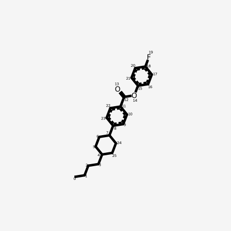 CCCCC1CCC(c2ccc(C(=O)Oc3ccc(F)cc3)cc2)CC1